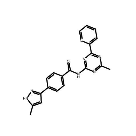 Cc1nc(NC(=O)c2ccc(-c3cc(C)[nH]n3)cc2)nc(-c2ccccn2)n1